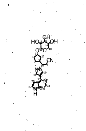 N#CCC(C1CCC(OC2OCC(O)C(O)C2O)C1)n1cc(-c2ncnc3[nH]ccc23)cn1